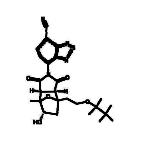 CC12OC(CCO[Si](C)(C)C(C)(C)C)(C[C@@H]1O)[C@H]1C(=O)N(c3ccc(C#N)c4nsnc34)C(=O)[C@H]12